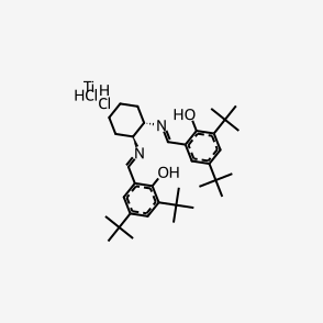 CC(C)(C)c1cc(C=N[C@H]2CCCC[C@@H]2N=Cc2cc(C(C)(C)C)cc(C(C)(C)C)c2O)c(O)c(C(C)(C)C)c1.Cl.Cl.[Ti]